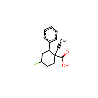 C#CC1(C(=O)O)CCC(F)CC1c1ccccc1